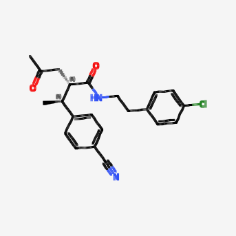 CC(=O)C[C@H](C(=O)NCCc1ccc(Cl)cc1)[C@H](C)c1ccc(C#N)cc1